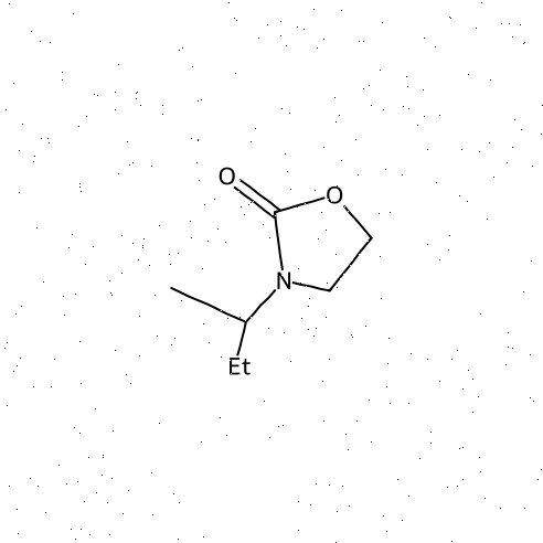 CCC(C)N1CCOC1=O